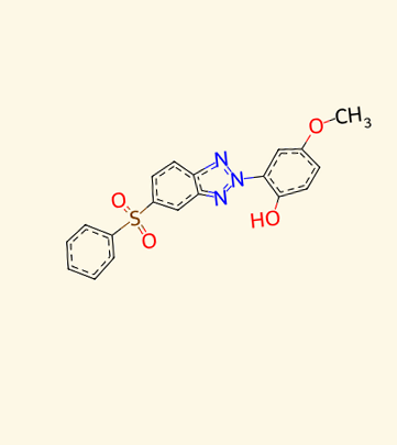 COc1ccc(O)c(-n2nc3ccc(S(=O)(=O)c4ccccc4)cc3n2)c1